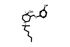 CCCCCC(C)(C)[C@@H]1CC[C@@](C)(O)C(CSc2cccc(OC)c2)C1